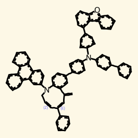 C=C1/C=C(c2ccccc2)\C=C/CN(c2ccc3c4ccccc4c4ccccc4c3c2)c2ccc(-c3ccc(N(c4ccc(-c5ccccc5)cc4)c4ccc(-c5cccc6oc7ccccc7c56)cc4)cc3)cc21